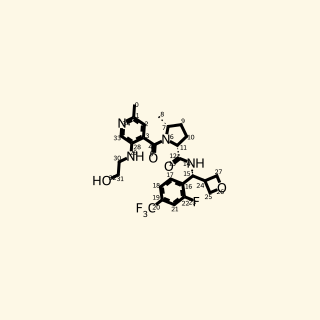 Cc1cc(C(=O)N2[C@H](C)CC[C@@H]2C(=O)N[C@@H](c2ccc(C(F)(F)F)cc2F)C2COC2)c(NCCO)cn1